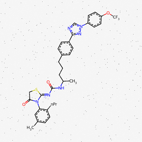 CCCc1ccc(C)cc1N1C(=O)CS/C1=N\C(=O)NC(C)CCCc1ccc(-c2ncn(-c3ccc(OC(F)(F)F)cc3)n2)cc1